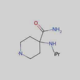 CC(C)NC1(C(N)=O)CC[N]CC1